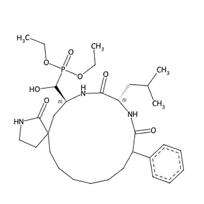 CCOP(=O)(OCC)C(O)[C@@H]1CC2(CCCCCCC(c3ccccc3)C(=O)N[C@@H](CC(C)C)C(=O)N1)CCNC2=O